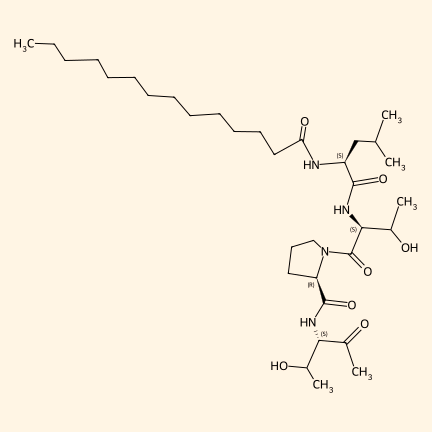 CCCCCCCCCCCCCC(=O)N[C@@H](CC(C)C)C(=O)N[C@H](C(=O)N1CCC[C@@H]1C(=O)N[C@H](C(C)=O)C(C)O)C(C)O